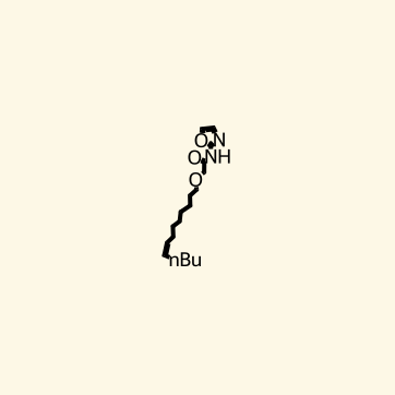 CCCC/C=C\CCCCCCCOCC(=O)Nc1ncco1